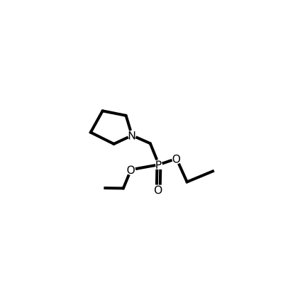 CCOP(=O)(CN1CCCC1)OCC